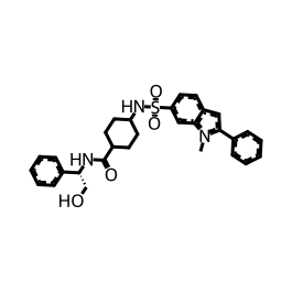 Cn1c(-c2ccccc2)cc2ccc(S(=O)(=O)NC3CCC(C(=O)N[C@H](CO)c4ccccc4)CC3)cc21